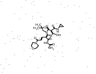 CC(C)(C)Cn1c(=O)c(C(=O)NC2CC2)c(O)n2nc(NC(N)=O)c(/C=C/C(=O)N3CCOCC3)c12